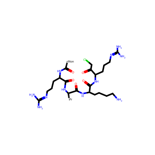 CCCCCCCCCC(=O)NC(CCCN=C(N)N)C(=O)NC(C(=O)NC(CCCCN)C(=O)NC(CCCN=C(N)N)C(=O)CCl)C(C)C